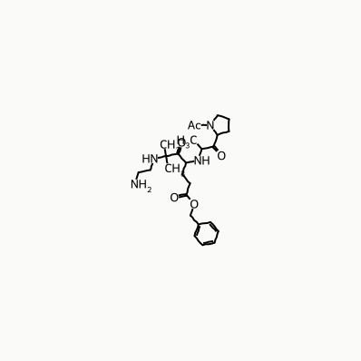 CC(=O)N1CCCC1C(=O)C(C)NC(CCC(=O)OCc1ccccc1)C(=O)C(C)(C)NCCN